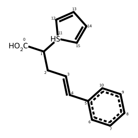 O=C(O)C(CC=Cc1ccccc1)[SH]1C=CC=C1